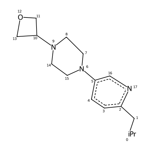 CC(C)Cc1ccc(N2CCN(C3COC3)CC2)cn1